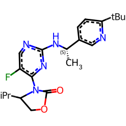 CC(C)C1COC(=O)N1c1nc(N[C@@H](C)c2ccc(C(C)(C)C)nc2)ncc1F